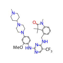 COc1cc(N2CCN(C3CCN(C)CC3)CC2)ccc1Nc1ncc(C(F)(F)F)c(NCc2cccc3c2C(C)(C)C(=O)N3C)n1